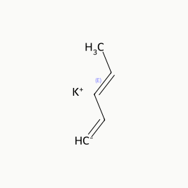 [CH-]=C/C=C/C.[K+]